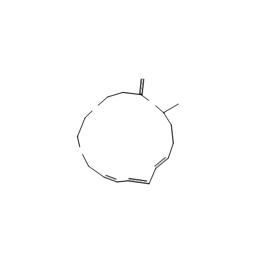 CC1CC/C=C/C=C/C=C/CCCCCCCC(=O)O1